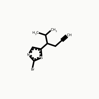 C#CCC(c1cnc(Br)s1)C(C)C